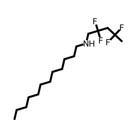 CCCCCCCCCCCCNCC(F)(F)CC(C)(F)F